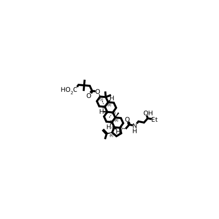 C=C(C)[C@@H]1CC[C@]2(CC(=O)NCCC(O)CC)CC[C@]3(C)[C@H](CC[C@@H]4[C@@]5(C)CC[C@H](OC(=O)CC(C)(C)CC(=O)O)C(C)(C)[C@@H]5CC[C@]43C)[C@@H]12